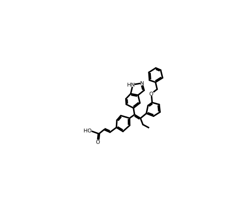 CCC(=C(c1ccc(C=CC(=O)O)cc1)c1ccc2[nH]ncc2c1)c1cccc(OCc2ccccc2)c1